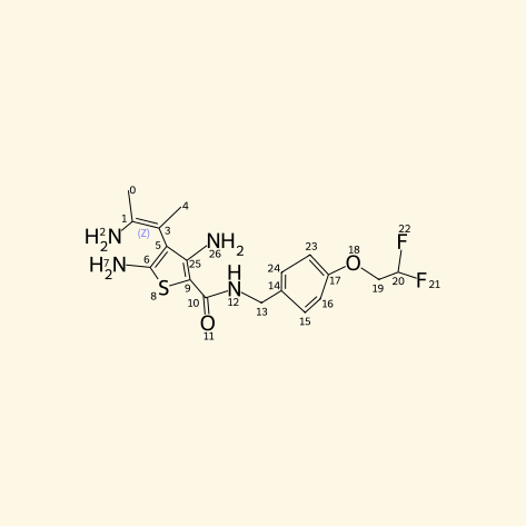 C/C(N)=C(\C)c1c(N)sc(C(=O)NCc2ccc(OCC(F)F)cc2)c1N